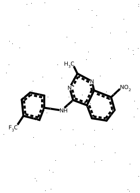 Cc1nc(Nc2cccc(C(F)(F)F)c2)c2cccc([N+](=O)[O-])c2n1